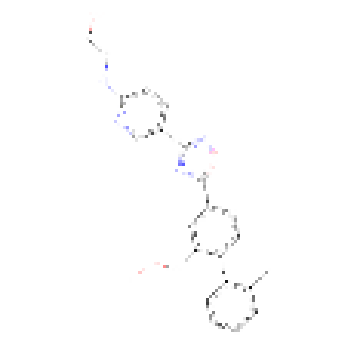 COCc1cc(-c2nc(-c3ccc(NCCO)nc3)no2)ccc1-c1ccccc1C